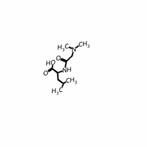 CC(C)CC(NC(=O)CN(C)C)C(=O)O